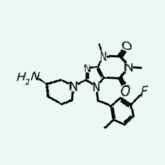 Cc1ccc(F)cc1Cn1c(N2CCC[C@@H](N)C2)nc2c1c(=O)n(C)c(=O)n2C